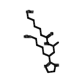 CCCCCCCCCCCCCCCC(=O)NC(C)CC(CCCCCCCCCCCCCC)C1=NCCN1